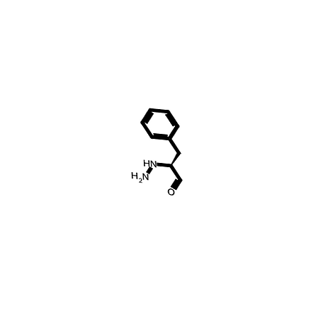 NN[C@H](C=O)Cc1ccccc1